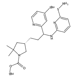 CC(C)(C)OC(=O)N1C[C@@H](CCC(Nc2cccc(SN)n2)c2cc(C(C)(C)C)ccn2)CC1(C)C